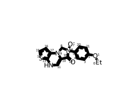 CCOc1ccc([N+]2([O-])CN3C(=CNc4sccc43)C2=O)cc1